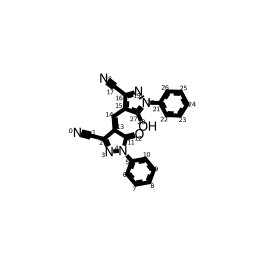 N#CC1=NN(c2ccccc2)C(=O)C1=Cc1c(C#N)nn(-c2ccccc2)c1O